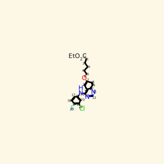 CCOC(=O)CCCCCOc1ccc2ncnc(Nc3ccc(F)c(Cl)c3)c2c1